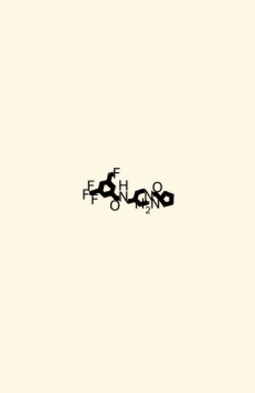 NC1(C(=O)N2CCC(CNC(=O)c3cc(CF)cc(C(F)(F)F)c3)CC2)CCCC1